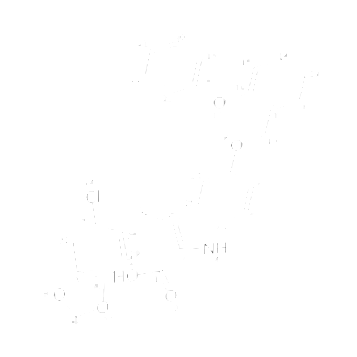 O=C(O)c1[nH]c2ccc(OCc3ccccc3Oc3ccccc3)cc2c1Cc1cc2c(cc1Cl)OCO2